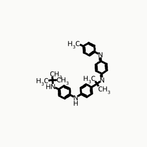 Cc1ccc(N=C2C=CC(=NC(C)(C)c3ccc(Nc4ccc(NC(C)(C)C)cc4)cc3)C=C2)cc1